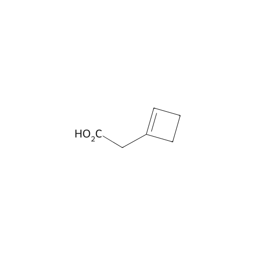 O=C(O)CC1=CCC1